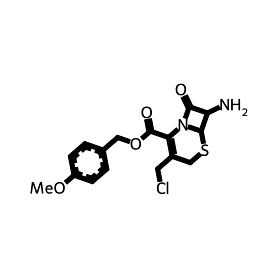 COc1ccc(COC(=O)C2=C(CCl)CSC3C(N)C(=O)N23)cc1